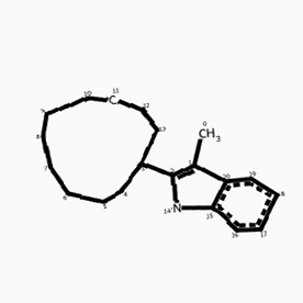 CC1=C(C2CCCCCCCCCC2)[N]c2ccccc21